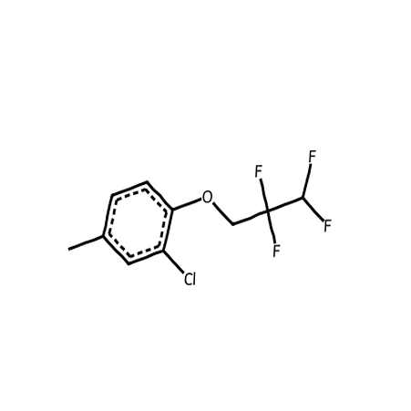 Cc1ccc(OCC(F)(F)C(F)F)c(Cl)c1